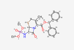 CCOP(=O)(NC1C(=O)N2C(C(=O)OC(c3ccccc3)c3ccccc3)=C(C)CSC12)OCC